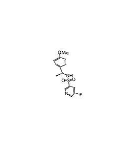 COc1ccc([C@H](C)NS(=O)(=O)c2cncc(F)c2)cc1